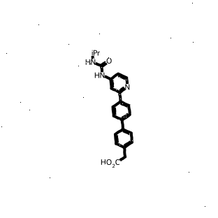 CC(C)NC(=O)Nc1ccnc(-c2ccc(-c3ccc(CC(=O)O)cc3)cc2)c1